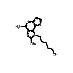 CCCCc1nc2c(N)nc3ccsc3c2n1CCCCCO